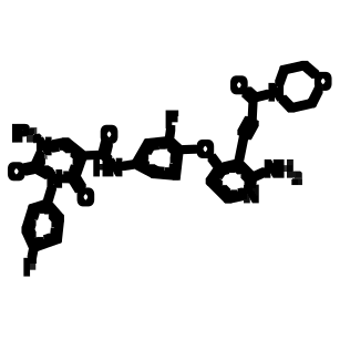 CC(C)n1cc(C(=O)Nc2ccc(Oc3ccnc(N)c3C#CC(=O)N3CCOCC3)c(F)c2)c(=O)n(-c2ccc(F)cc2)c1=O